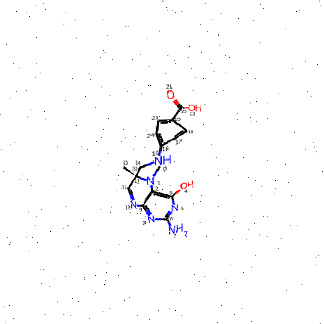 CN1c2c(O)nc(N)nc2N=C[C@]1(C)CNc1ccc(C(=O)O)cc1